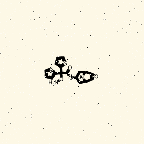 CN1C2CC(OC(=O)C(ON)(c3cccs3)c3cccs3)CC1C1OC12